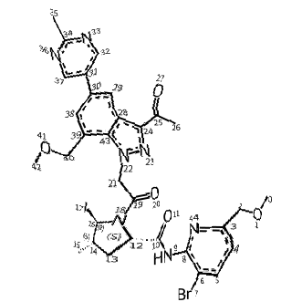 COCc1ccc(Br)c(NC(=O)[C@@H]2C[C@H](C)[C@@H](I)N2C(=O)Cn2nc(C(C)=O)c3cc(-c4cnc(C)nc4)cc(COC)c32)n1